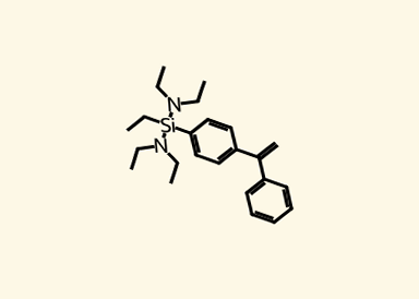 C=C(c1ccccc1)c1ccc([Si](CC)(N(CC)CC)N(CC)CC)cc1